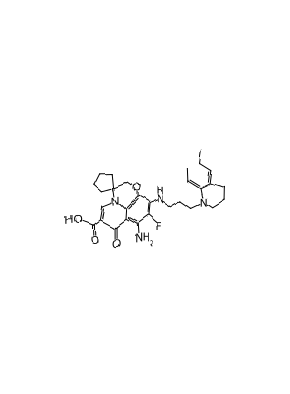 C/C=C1\C(=C/CC)CCCN1CCCNc1c(F)c(N)c2c(=O)c(C(=O)O)cn3c2c1OCC31CCCC1